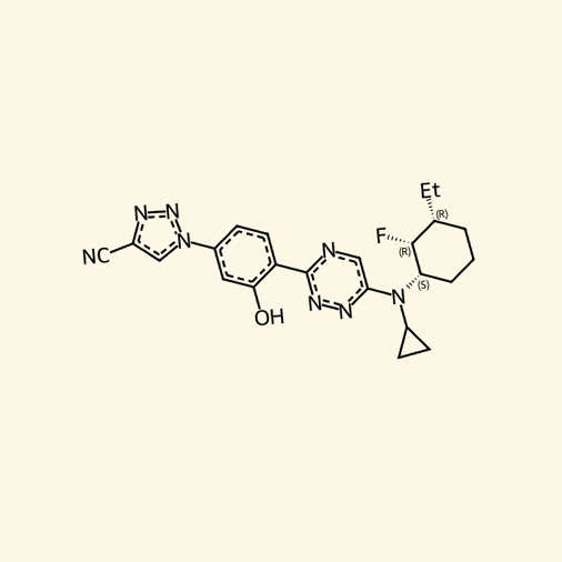 CC[C@@H]1CCC[C@H](N(c2cnc(-c3ccc(-n4cc(C#N)nn4)cc3O)nn2)C2CC2)[C@@H]1F